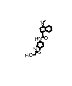 CN(C)c1ccc(C(=O)Nc2ccc3sc(CO)nc3c2)c2ccccc12